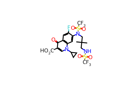 CC(C)(CNS(=O)(=O)C(F)(F)F)CN(c1cc2c(cc1F)c(=O)c(C(=O)O)cn2C1CC1)S(=O)(=O)C(F)(F)F